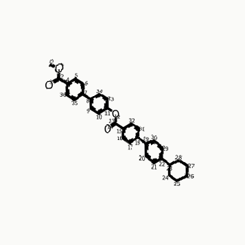 COC(=O)c1ccc(-c2ccc(OC(=O)c3ccc(-c4ccc(C5CCCCC5)cc4)cc3)cc2)cc1